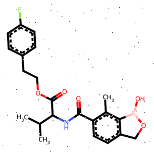 Cc1c(C(=O)NC(C(=O)OCCc2ccc(F)cc2)C(C)C)ccc2c1B(O)OC2